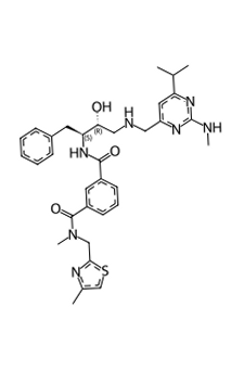 CNc1nc(CNC[C@@H](O)[C@H](Cc2ccccc2)NC(=O)c2cccc(C(=O)N(C)Cc3nc(C)cs3)c2)cc(C(C)C)n1